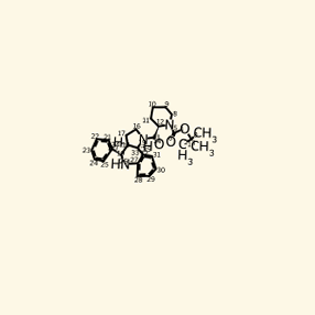 CC(C)(C)OC(=O)N1CCCC[C@@H]1C(=O)N1CC[C@@H]2[C@H](c3ccccc3)Nc3ccccc3[C@@H]21